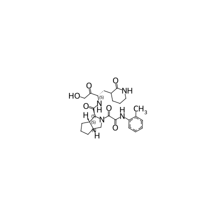 Cc1ccccc1NC(=O)C(=O)N1C[C@@H]2CCC[C@@H]2[C@H]1C(=O)N[C@@H](CC1CCCNC1=O)C(=O)CO